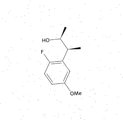 COc1ccc(F)c([C@H](C)[C@H](C)O)c1